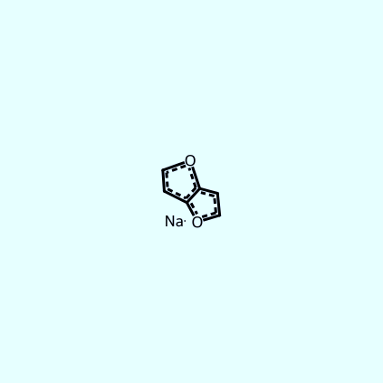 [Na].c1cc2occc2o1